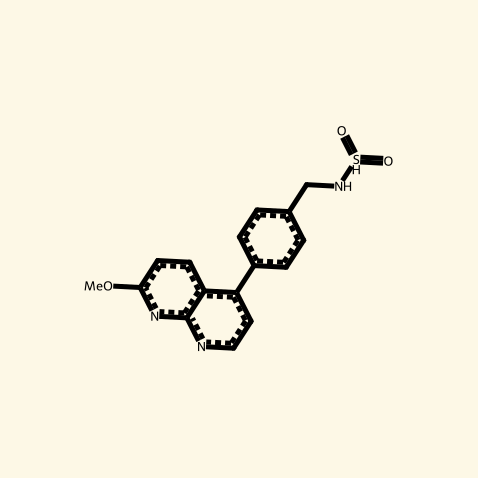 COc1ccc2c(-c3ccc(CN[SH](=O)=O)cc3)ccnc2n1